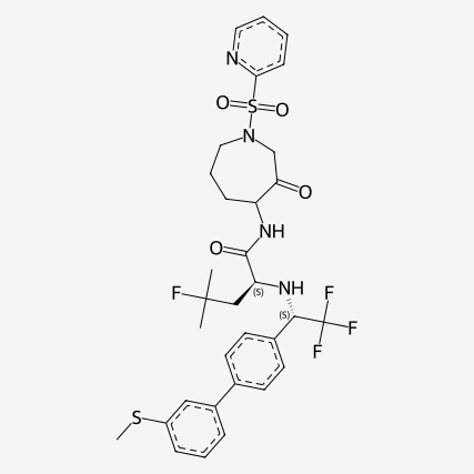 CSc1cccc(-c2ccc([C@H](N[C@@H](CC(C)(C)F)C(=O)NC3CCCN(S(=O)(=O)c4ccccn4)CC3=O)C(F)(F)F)cc2)c1